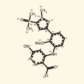 CCC(=O)c1nnc(N=O)cc1Nc1cccc(-c2cc(P(C)(C)=O)n(C)n2)c1OC